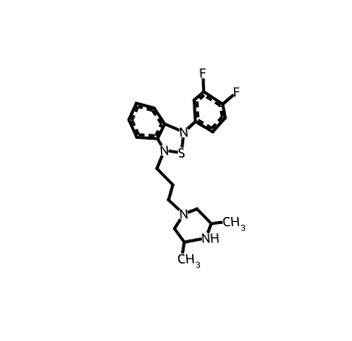 CC1CN(CCCN2SN(c3ccc(F)c(F)c3)c3ccccc32)CC(C)N1